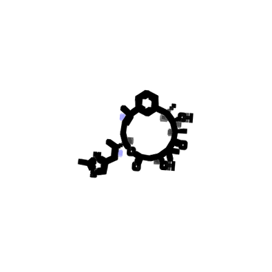 C/C1=C/C[C@@H](/C(C)=C/c2csc(C)n2)OC(=O)C[C@H](O)C(C)(C)C(=O)[C@H](C)[C@@H](O)[C@@H](C)c2cccc1c2